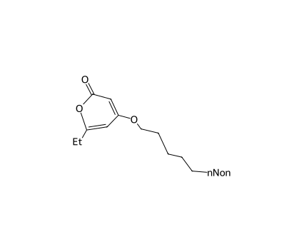 CCCCCCCCCCCCCCOc1cc(CC)oc(=O)c1